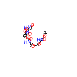 CCC(C)(C)OCC(=O)NCCOC(C)(C)CCOC(C)(C)CCNC(=O)COc1cccc2c1C(=O)N(C1CCC(=O)NC1=O)C2=O